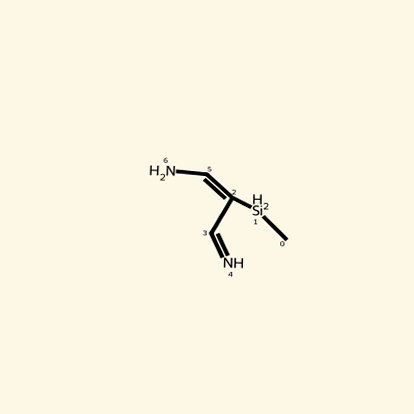 C[SiH2]/C(C=N)=C/N